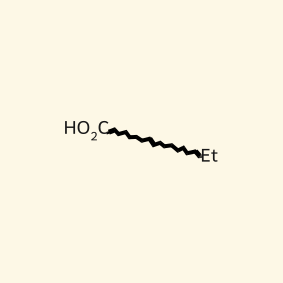 CC/C=C/CCCCCC/C=C/CCCCC/C=C/C(=O)O